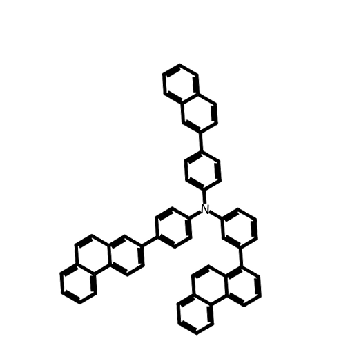 c1cc(-c2cccc3c2ccc2ccccc23)cc(N(c2ccc(-c3ccc4ccccc4c3)cc2)c2ccc(-c3ccc4c(ccc5ccccc54)c3)cc2)c1